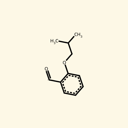 CC(C)COc1ccccc1[C]=O